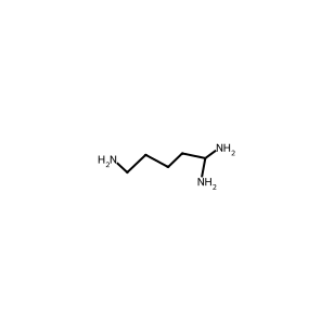 NCCCCC(N)N